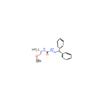 CC(C)(C)OCC(NC(=O)NN=C(c1ccccc1)c1ccccc1)C(=O)O